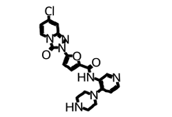 O=C(Nc1cnccc1N1CCNCC1)c1ccc(-n2nc3cc(Cl)ccn3c2=O)o1